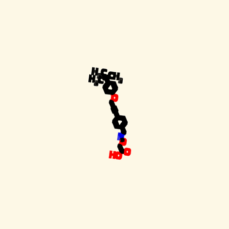 CC(C)(C)c1ccc(OCC#Cc2ccc(C=NOCC(=O)O)cc2)cc1